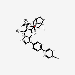 CS(=O)(=O)c1c(C2CC3CC[C@@H](C2)N3C(N)=O)nc2c(-c3ccc(-c4ccc(F)cc4)nc3)cnn2c1N